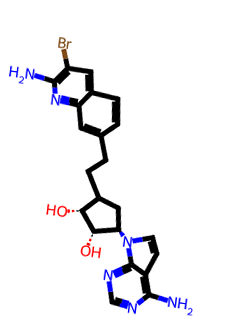 Nc1nc2cc(CCC3C[C@@H](n4ccc5c(N)ncnc54)[C@H](O)[C@@H]3O)ccc2cc1Br